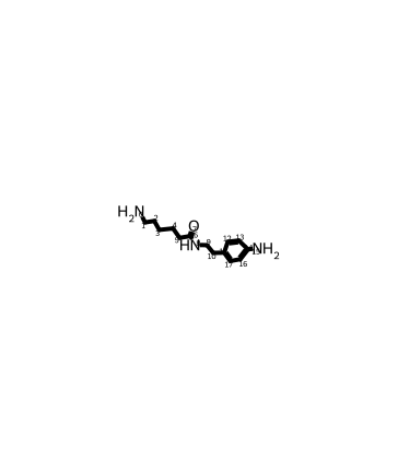 NCCCCCC(=O)NCCc1ccc(N)cc1